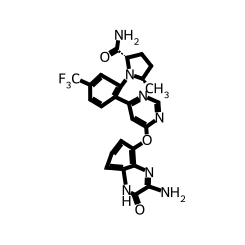 C[C@@H]1CC[C@@H](C(N)=O)N1c1cc(C(F)(F)F)ccc1-c1cc(Oc2cccc3[nH]c(=O)c(N)nc23)ncn1